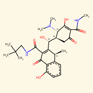 CNC(=O)C1=C(O)[C@@H](N(C)C)[C@H]([C@@H](O)C2=C(C(=O)NCC(C)(C)C)C(=O)c3c(O)cccc3[C@@H]2C)CC1=O